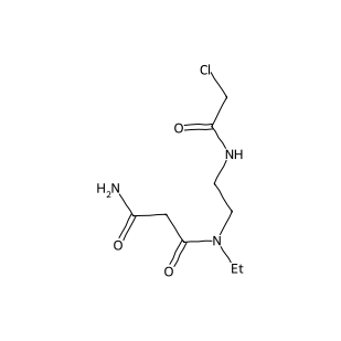 CCN(CCNC(=O)CCl)C(=O)CC(N)=O